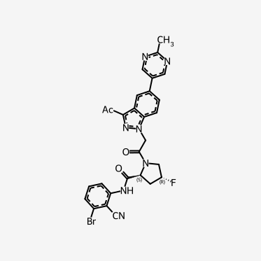 CC(=O)c1nn(CC(=O)N2C[C@H](F)C[C@H]2C(=O)Nc2cccc(Br)c2C#N)c2ccc(-c3cnc(C)nc3)cc12